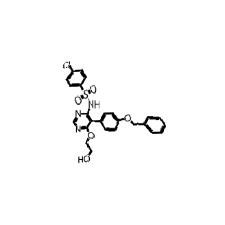 O=S(=O)(Nc1ncnc(OCCO)c1-c1ccc(OCc2ccccc2)cc1)c1ccc(Cl)cc1